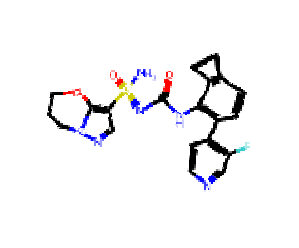 N[S@@](=O)(=NC(=O)Nc1c(-c2ccncc2F)ccc2c1CC2)c1cnn2c1OCCC2